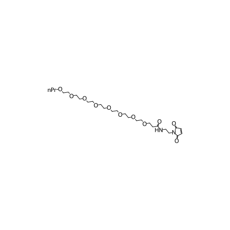 CCCOCCOCCOCCOCCOCCOCCOCCOCCC(=O)NCCN1C(=O)C=CC1=O